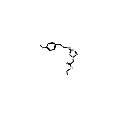 CCOC(=O)Cn1nnc(NOCc2ccc(OC)cc2)n1